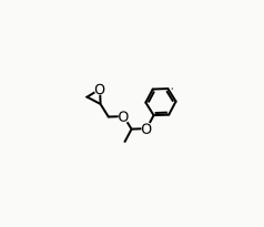 CC(OCC1CO1)Oc1cc[c]cc1